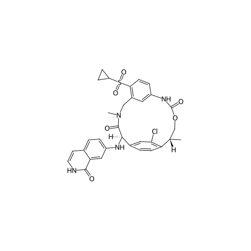 C[C@H]1COC(=O)Nc2ccc(S(=O)(=O)C3CC3)c(c2)CN(C)C(=O)[C@H](Nc2ccc3cc[nH]c(=O)c3c2)c2ccc1c(Cl)c2